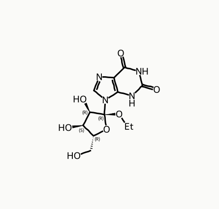 CCO[C@@]1(n2cnc3c(=O)[nH]c(=O)[nH]c32)O[C@H](CO)[C@@H](O)[C@H]1O